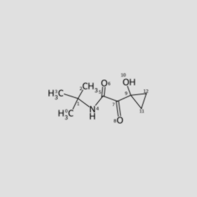 CC(C)(C)NC(=O)C(=O)C1(O)CC1